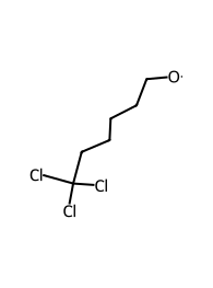 [O]CCCCCC(Cl)(Cl)Cl